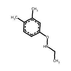 CCNOc1ccc(C)c(C)c1